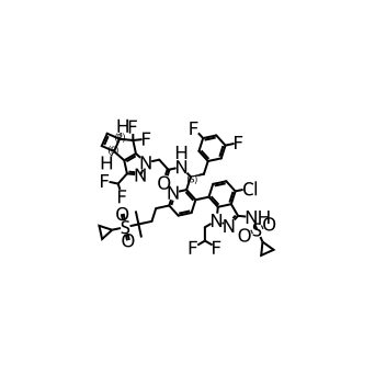 CC(C)(CCc1ccc(-c2ccc(Cl)c3c(NS(=O)(=O)C4CC4)nn(CC(F)F)c23)c([C@H](Cc2cc(F)cc(F)c2)NC(=O)Cn2nc(C(F)F)c3c2C(F)(F)[C@@H]2C=C[C@H]32)n1)S(=O)(=O)C1CC1